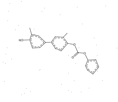 Cc1cc(-c2ccc(OC(=O)Oc3ccccc3)c(C)c2)ccc1O